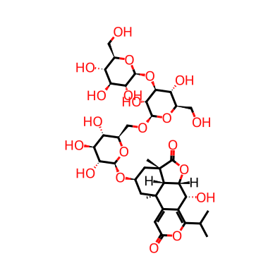 CC(C)c1oc(=O)cc2c1[C@@H](O)[C@H]1OC(=O)[C@@]3(C)C[C@H](O[C@@H]4O[C@H](CO[C@@H]5O[C@H](CO)[C@@H](O)[C@H](O[C@@H]6O[C@H](CO)[C@@H](O)[C@H](O)[C@H]6O)[C@H]5O)[C@@H](O)[C@H](O)[C@H]4O)C[C@@]2(C)[C@@H]13